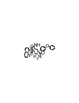 NC(=O)C1C[N+](C(N)=O)(c2ccc(Oc3ccccc3)cc2)CCN1S(=O)(=O)c1cccc2cccnc12